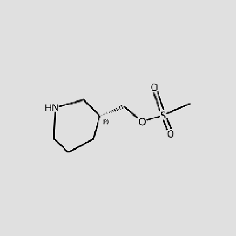 CS(=O)(=O)OC[C@@H]1CCCNC1